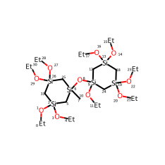 CCO[Si]1(OCC)C[Si](C)(O[Si]2(OCC)C[Si](OCC)(OCC)C[Si](OCC)(OCC)C2)C[Si](OCC)(OCC)C1